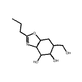 CCCC1=NC2C(CC(CO)C(O)C2O)O1